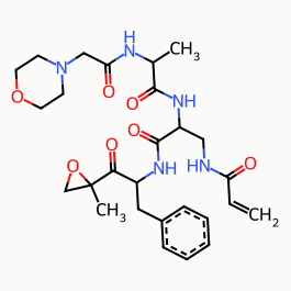 C=CC(=O)NCC(NC(=O)C(C)NC(=O)CN1CCOCC1)C(=O)NC(Cc1ccccc1)C(=O)C1(C)CO1